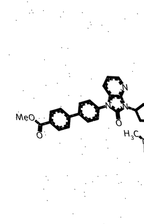 COC(=O)c1ccc(-c2ccc(-n3c(=O)n(C4CCN(Cc5nccn5C)C4)c4ncccc43)cc2)cc1